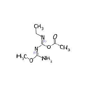 CC/N=C(\N=C(/N)OC)OC(C)=O